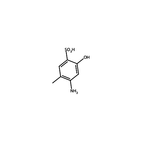 Cc1cc(S(=O)(=O)O)c(O)cc1N